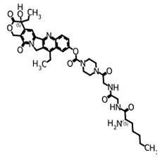 CCCCC[C@H](N)C(=O)NCC(=O)NCC(=O)N1CCN(C(=O)Oc2ccc3nc4c(c(CC)c3c2)Cn2c-4cc3c(c2=O)COC(=O)[C@]3(O)CC)CC1